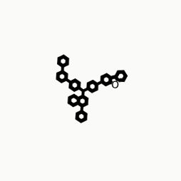 c1ccc(-c2cccc(-c3ccc(C(c4ccc(-c5ccc6c(c5)oc5ccccc56)cc4)c4ccc(-c5ccccc5)c5ccccc45)cc3)c2)cc1